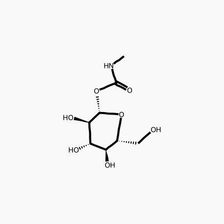 CNC(=O)O[C@@H]1O[C@H](CO)[C@@H](O)[C@H](O)[C@H]1O